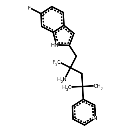 CC(C)(CC(N)(Cc1cc2ccc(F)cc2[nH]1)C(F)(F)F)c1cccnc1